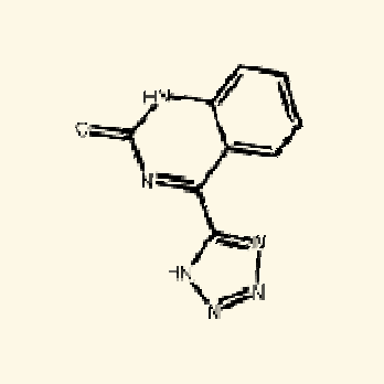 O=c1nc(-c2nnn[nH]2)c2ccccc2[nH]1